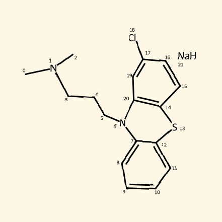 CN(C)CCCN1c2ccccc2Sc2ccc(Cl)cc21.[NaH]